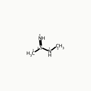 CNS(C)=N